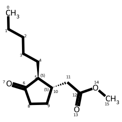 CCCCC[C@@H]1C(=O)CC[C@H]1CC(=O)OC